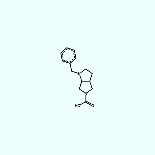 O=C(O)N1CC2CCN(Cc3ccccc3)C2C1